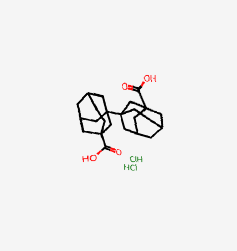 Cl.Cl.O=C(O)C12CC3CC(C1)CC(C14CC5CC(CC(C(=O)O)(C5)C1)C4)(C3)C2